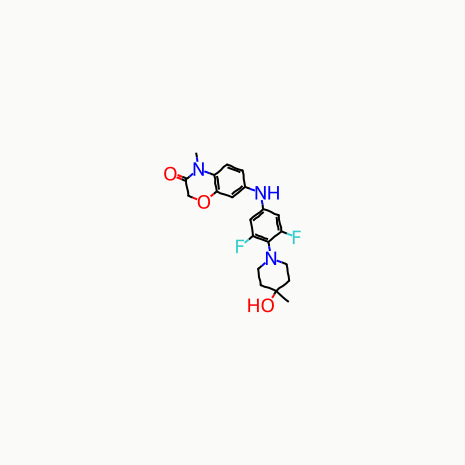 CN1C(=O)COc2cc(Nc3cc(F)c(N4CCC(C)(O)CC4)c(F)c3)ccc21